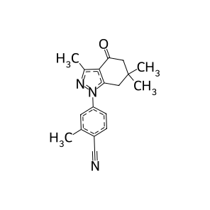 Cc1cc(-n2nc(C)c3c2CC(C)(C)CC3=O)ccc1C#N